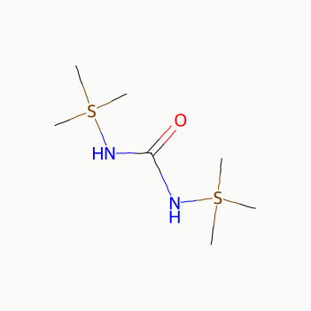 CS(C)(C)NC(=O)NS(C)(C)C